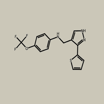 FC(F)(F)Oc1ccc(NCc2c[nH]nc2-c2cccs2)cc1